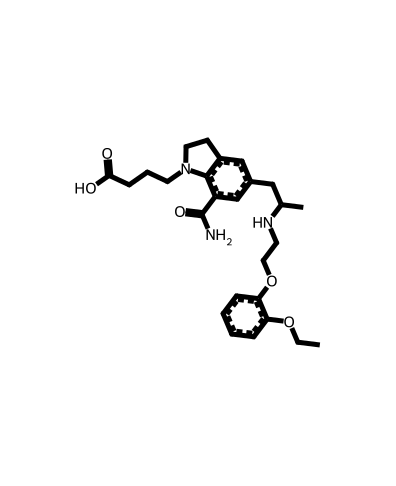 CCOc1ccccc1OCCNC(C)Cc1cc2c(c(C(N)=O)c1)N(CCCC(=O)O)CC2